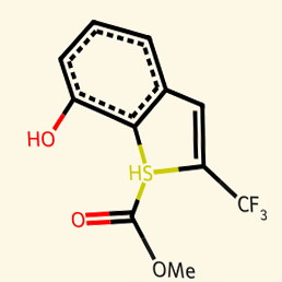 COC(=O)[SH]1C(C(F)(F)F)=Cc2cccc(O)c21